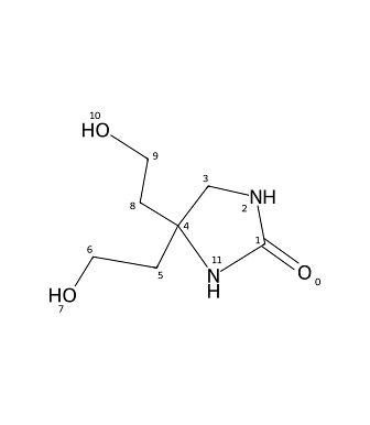 O=C1NCC(CCO)(CCO)N1